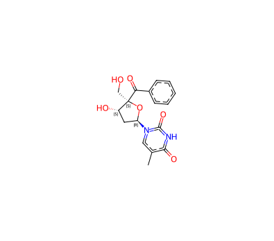 Cc1cn([C@H]2C[C@H](O)[C@@](CO)(C(=O)c3ccccc3)O2)c(=O)[nH]c1=O